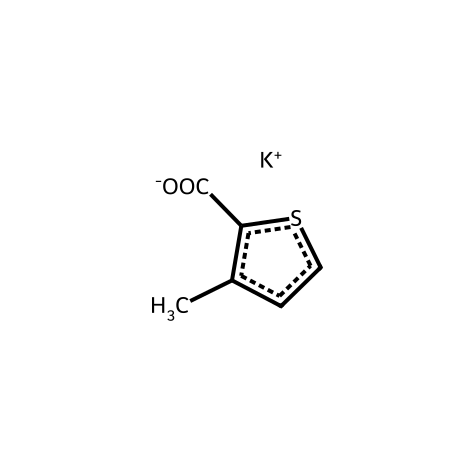 Cc1ccsc1C(=O)[O-].[K+]